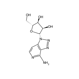 Nc1nccc2c1nnn2[C@@H]1O[C@H](CO)[C@@H](O)[C@H]1O